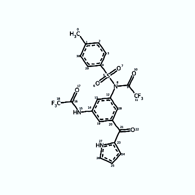 Cc1ccc(S(=O)(=O)N(C(=O)C(F)(F)F)c2cc(NC(=O)C(F)(F)F)cc(C(=O)c3ccc[nH]3)c2)cc1